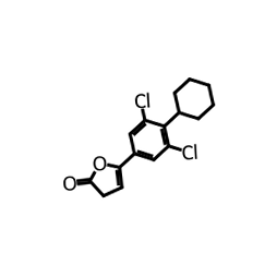 O=C1CC=C(c2cc(Cl)c(C3CCCCC3)c(Cl)c2)O1